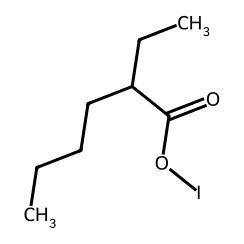 CCCCC(CC)C(=O)OI